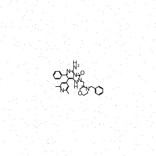 Cc1cc(-c2c(-c3ccccc3)nc(N)[n+]3c(=O)n(C[C@@H]4COCCN4Cc4ccccc4)[nH]c23)cc(C)n1